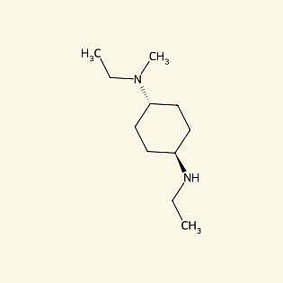 CCN[C@H]1CC[C@H](N(C)CC)CC1